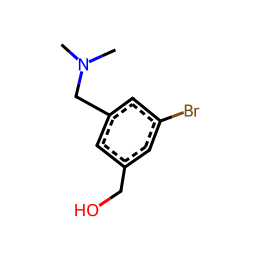 CN(C)Cc1cc(Br)cc(CO)c1